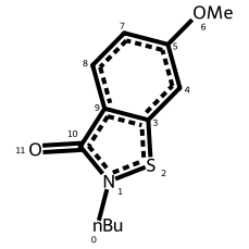 CCCCn1sc2cc(OC)ccc2c1=O